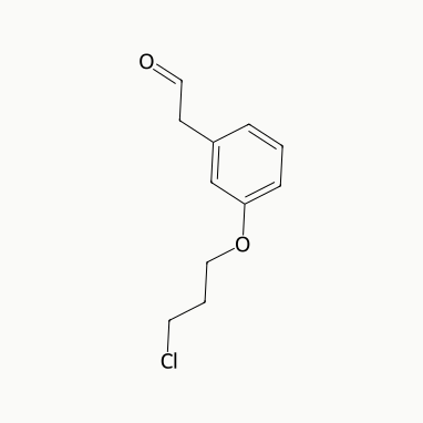 O=CCc1cccc(OCCCCl)c1